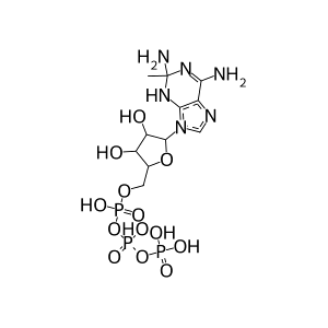 CC1(N)N=C(N)c2ncn(C3OC(COP(=O)(O)OP(=O)(O)OP(=O)(O)O)C(O)C3O)c2N1